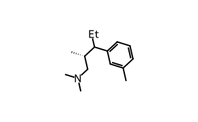 CCC(c1cccc(C)c1)[C@@H](C)CN(C)C